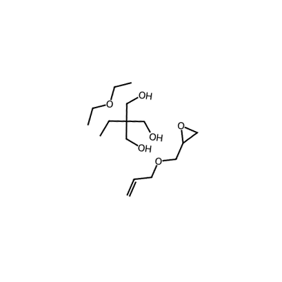 C=CCOCC1CO1.CCC(CO)(CO)CO.CCOCC